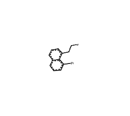 CC(C)c1cccc2cccc(CCF)c12